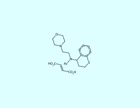 CC(=O)N(CCN1CCOCC1)C1CCSc2ccccc21.O=C(O)C=CC(=O)O